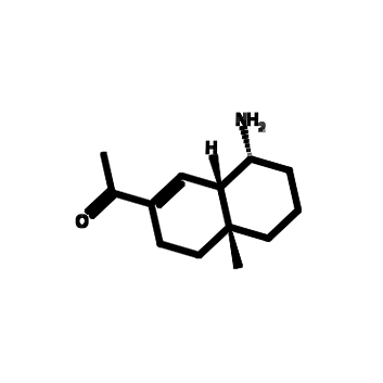 CC(=O)C1=C[C@@H]2[C@H](N)CCC[C@]2(C)CC1